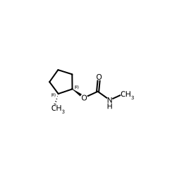 CNC(=O)O[C@@H]1CCC[C@H]1C